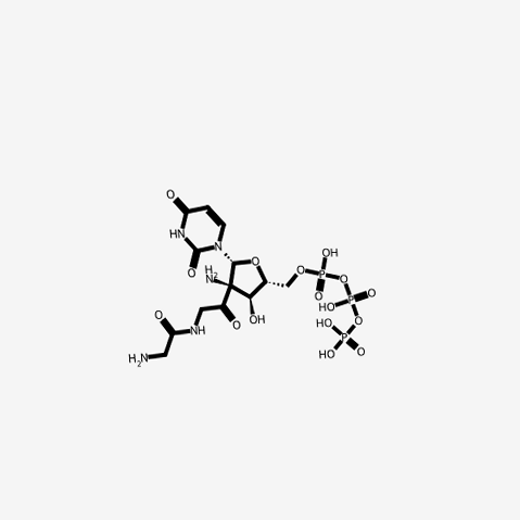 NCC(=O)NCC(=O)[C@@]1(N)[C@H](O)[C@@H](COP(=O)(O)OP(=O)(O)OP(=O)(O)O)O[C@H]1n1ccc(=O)[nH]c1=O